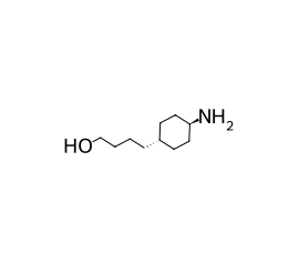 N[C@H]1CC[C@H](CCCCO)CC1